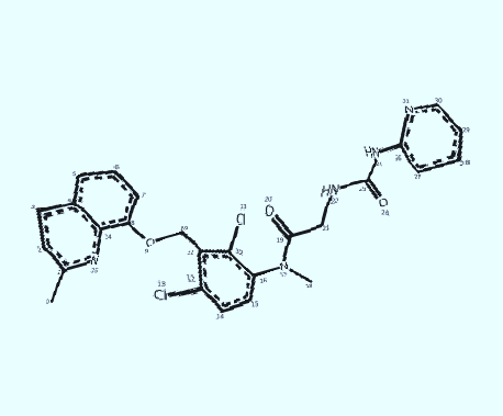 Cc1ccc2cccc(OCc3c(Cl)ccc(N(C)C(=O)CNC(=O)Nc4ccccn4)c3Cl)c2n1